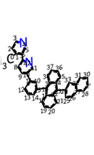 Cc1ccncc1-c1ccc(-c2cccc(-c3c4ccccc4c(-c4ccc5ccccc5c4)c4ccccc34)c2)cn1